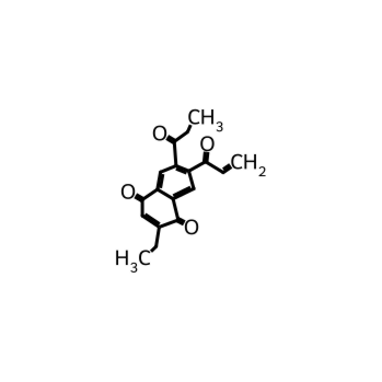 C=CC(=O)c1cc2c(cc1C(=O)CC)C(=O)C=C(CC)C2=O